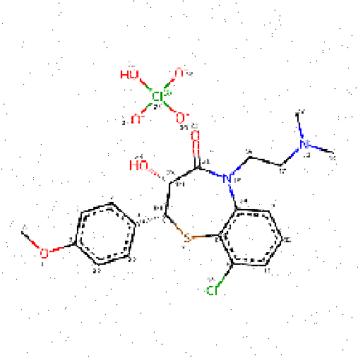 COc1ccc([C@H]2Sc3c(Cl)cccc3N(CCN(C)C)C(=O)[C@H]2O)cc1.[O-][Cl+3]([O-])([O-])O